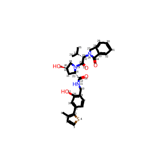 Cc1ccsc1-c1ccc(CNC(=O)[C@@H]2C[C@@H](O)CN2C(=O)[C@H](C(C)C)N2Cc3ccccc3C2=O)c(O)c1